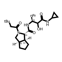 CCC[C@H](NC(=O)[C@@H]1[C@H]2CCC[C@H]2CN1C(=O)[CH]C(C)(C)C)C(O)C(=O)NC1CC1